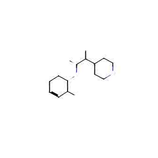 CC(C1CCNCC1)[C@H](C)N[C@@H]1CCC=CC1C